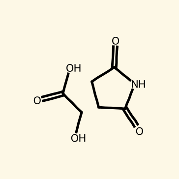 O=C(O)CO.O=C1CCC(=O)N1